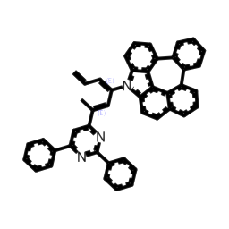 C=C/C=C(\C=C(/C)c1cc(-c2ccccc2)nc(-c2ccccc2)n1)n1c2cccc3c2c2c4c(cccc4ccc21)-c1ccccc1-3